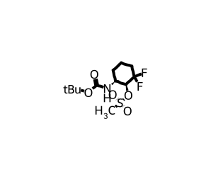 CC(C)(C)OC(=O)N[C@@H]1CCCC(F)(F)[C@H]1OS(C)(=O)=O